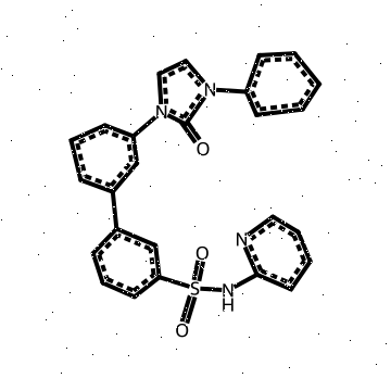 O=c1n(-c2ccccc2)ccn1-c1cccc(-c2cccc(S(=O)(=O)Nc3ccccn3)c2)c1